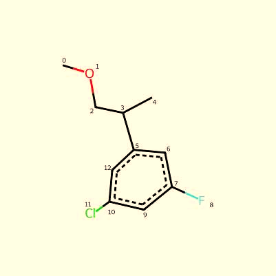 COCC(C)c1cc(F)cc(Cl)c1